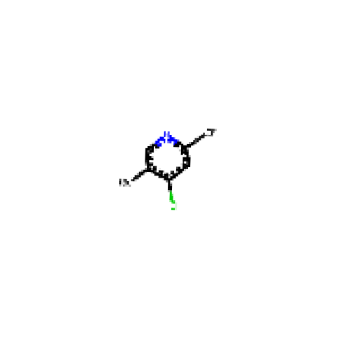 CC(C)(C)c1cnc(C(F)(F)F)cc1Cl